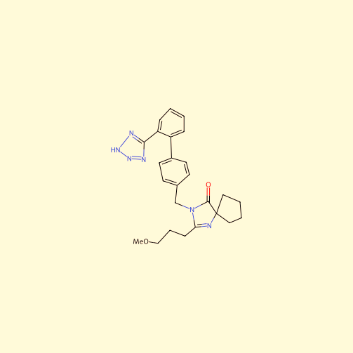 COCCCC1=NC2(CCCC2)C(=O)N1Cc1ccc(-c2ccccc2-c2nn[nH]n2)cc1